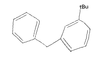 CC(C)(C)c1cccc(Cc2ccccc2)c1